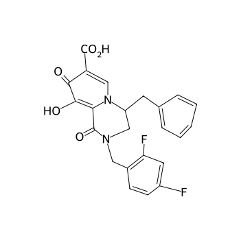 O=C(O)c1cn2c(c(O)c1=O)C(=O)N(Cc1ccc(F)cc1F)CC2Cc1ccccc1